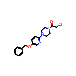 O=C(CCl)N1CCN(c2ccc(OCc3ccccc3)cn2)CC1